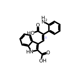 Nc1ccccc1/C(=C/c1c(C(=O)O)[nH]c2ccccc12)C(=O)O